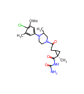 COc1cc(N2CCN(C(=O)CC3C[C@@]3(C)C(=O)NC(N)=O)C[C@@H]2C)cc(C)c1Cl